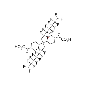 O=C(O)NC1CCC(C(CC(F)(F)C(F)(F)C(F)(F)C(F)(F)C(F)(F)C(F)F)(CC(F)(F)C(F)(F)C(F)(F)C(F)(F)C(F)(F)C(F)F)C2CCC(NC(=O)O)CC2)CC1